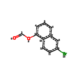 O=COc1cccc2cc(Br)ccc12